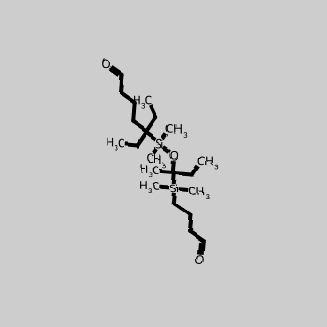 CCC(C)(O[Si](C)(C)C(CC)(CC)CCCC=O)[Si](C)(C)CCCC=O